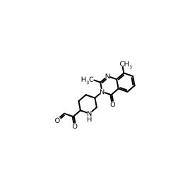 Cc1cccc2c(=O)n(C3CCC(C(=O)C=O)NC3)c(C)nc12